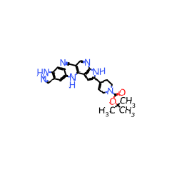 CC(C)(C)OC(=O)N1CC=C(c2cc3c(Nc4ccc5[nH]ncc5c4)c(C#N)cnc3[nH]2)CC1